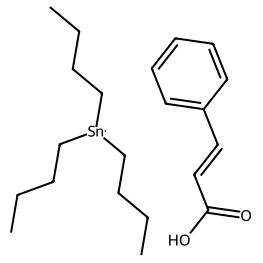 CCC[CH2][Sn]([CH2]CCC)[CH2]CCC.O=C(O)C=Cc1ccccc1